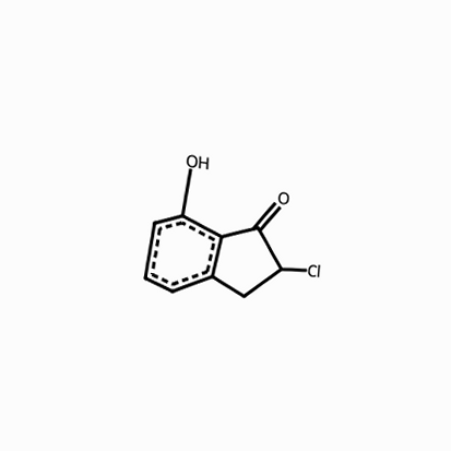 O=C1c2c(O)cccc2CC1Cl